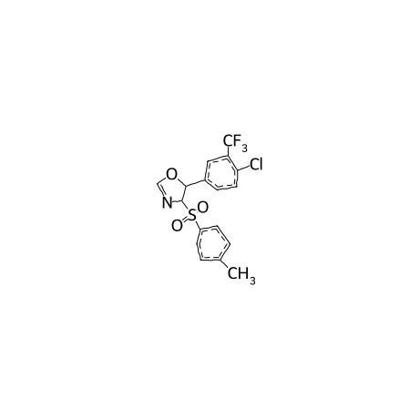 Cc1ccc(S(=O)(=O)C2N=COC2c2ccc(Cl)c(C(F)(F)F)c2)cc1